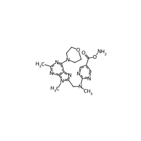 Cc1nc(N2CCOCC2)c2nc(CN(C)c3ncc(C(=O)ON)cn3)n(C)c2n1